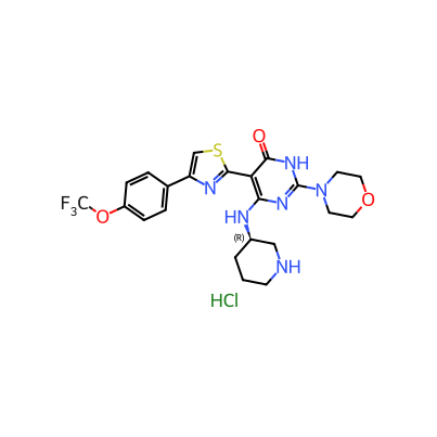 Cl.O=c1[nH]c(N2CCOCC2)nc(N[C@@H]2CCCNC2)c1-c1nc(-c2ccc(OC(F)(F)F)cc2)cs1